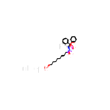 CCCCCCCOCCCCCCC=CCC(=O)N1C(=S)OC(c2ccccc2)(c2ccccc2)[C@@H]1C(C)C